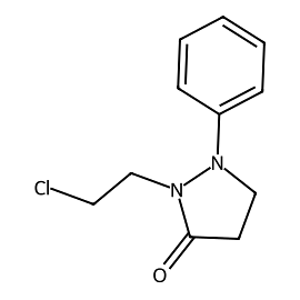 O=C1CCN(c2ccccc2)N1CCCl